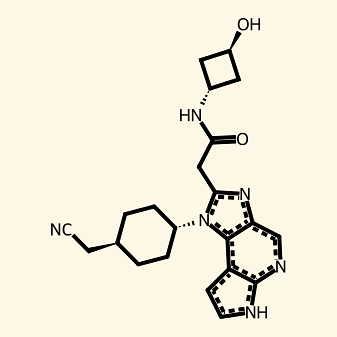 N#CC[C@H]1CC[C@H](n2c(CC(=O)N[C@H]3C[C@H](O)C3)nc3cnc4[nH]ccc4c32)CC1